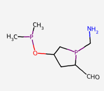 CP(C)OC1CC(C=O)P(CN)C1